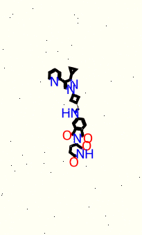 O=C1CCC(N2C(=O)c3ccc(NC[C@H]4C[C@H](n5cc(-c6ccccn6)c(C6CC6)n5)C4)cc3C2=O)C(=O)N1